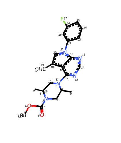 CC1CN(C(=O)OC(C)(C)C)[C@@H](C)CN1c1ncnc2c1c(C=O)cn2-c1cccc(F)c1